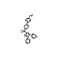 O=C(c1cc(-c2ccncc2)n(-c2ccccc2)n1)N1CCN(c2ccc(CF)cn2)CC1